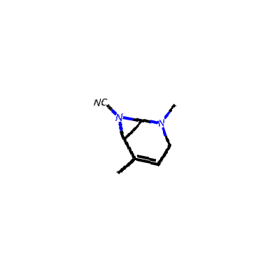 CC1=CCN(C)C2C1N2C#N